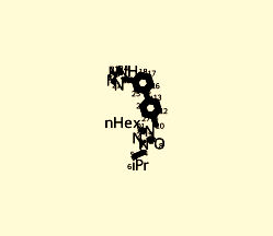 CCCCCCc1nn(CCC(C)C)c(=O)n1Cc1ccc(-c2cccc(-c3nnn[nH]3)c2)cc1